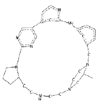 CC1CN2CCNCCC3CCCN3c3ncc(cn3)-c3ccnc(c3)Nc3cccc(c3)CN1CC2